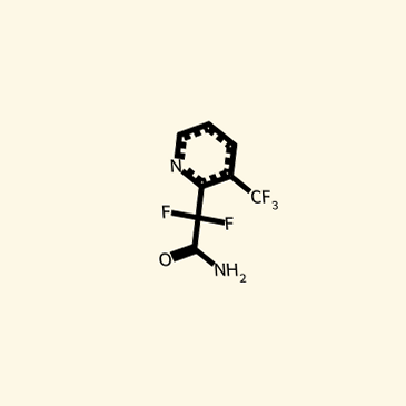 NC(=O)C(F)(F)c1ncccc1C(F)(F)F